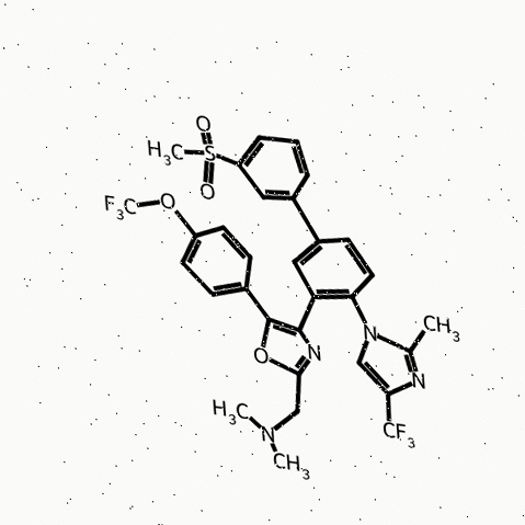 Cc1nc(C(F)(F)F)cn1-c1ccc(-c2cccc(S(C)(=O)=O)c2)cc1-c1nc(CN(C)C)oc1-c1ccc(OC(F)(F)F)cc1